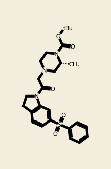 C[C@@H]1CN(CC(=O)N2CCc3ccc(S(=O)(=O)c4ccccc4)cc32)CCN1C(=O)OC(C)(C)C